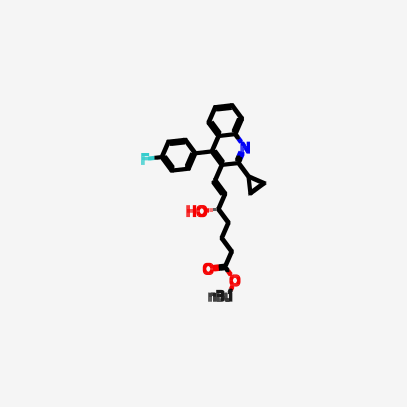 CCCCOC(=O)CCC[C@H](O)/C=C/c1c(C2CC2)nc2ccccc2c1-c1ccc(F)cc1